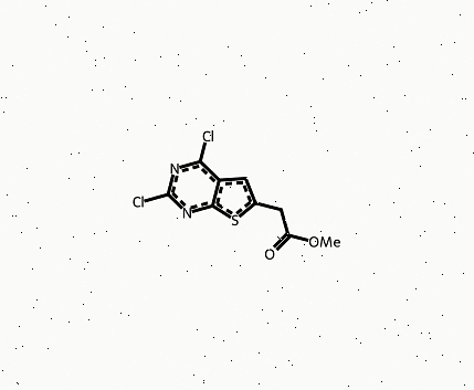 COC(=O)Cc1cc2c(Cl)nc(Cl)nc2s1